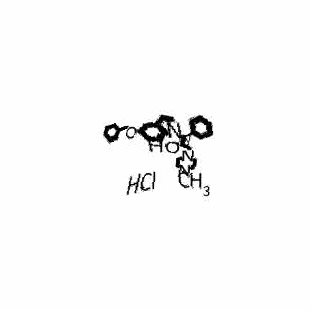 CN1CCN(C[C@@H](O)[C@H](c2ccccc2)n2ccc3cc(OCc4ccccc4)ccc32)CC1.Cl